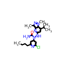 CCCCc1cc(N(Nc2cc(C(C)C)c3c(n2)c(C)nn3C)C(N)=O)cc(Cl)n1